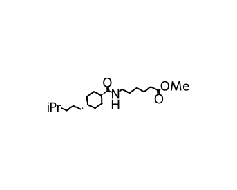 COC(=O)CCCCCNC(=O)[C@H]1CC[C@H](CCCC(C)C)CC1